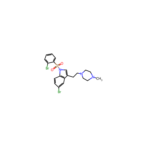 CN1CCN(CCc2cn(S(=O)(=O)c3ccccc3Br)c3ccc(Br)cc23)CC1